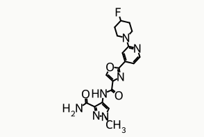 Cn1cc(NC(=O)c2coc(-c3ccnc(N4CCC(F)CC4)c3)n2)c(C(N)=O)n1